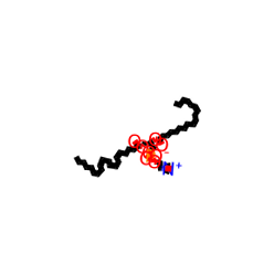 CC/C=C\C/C=C\C/C=C\CCCCCCCC(=O)O[C@H](COC(=O)CCC/C=C\C/C=C\C/C=C\C/C=C\CCCCC)COP(=O)([O-])OCC[N+](C)(C)C